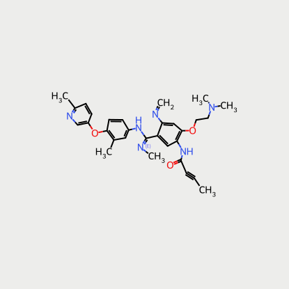 C=Nc1cc(OCCN(C)C)c(NC(=O)C#CC)cc1/C(=N\C)Nc1ccc(Oc2ccc(C)nc2)c(C)c1